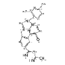 CC(=N)OC(=N)c1ccc(F)c(-c2c(=O)ccn3c(-c4ccc(F)cc4F)cccc23)c1